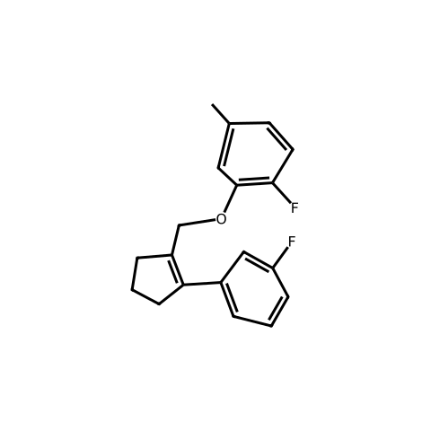 Cc1ccc(F)c(OCC2=C(c3cccc(F)c3)CCC2)c1